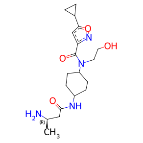 C[C@@H](N)CC(=O)NC1CCC(N(CCO)C(=O)c2cc(C3CC3)on2)CC1